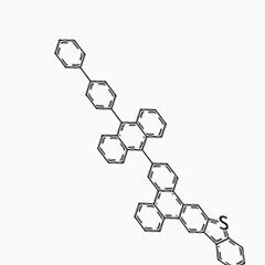 c1ccc(-c2ccc(-c3c4ccccc4c(-c4ccc5c(c4)c4ccccc4c4cc6c(cc54)sc4ccccc46)c4ccccc34)cc2)cc1